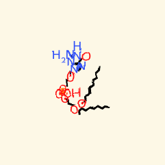 CCCCCCCCCCOC(CCCCCCC)C(C)OCCCOP(=O)(O)OCCOCn1cnc2c(=O)[nH]c(N)nc21